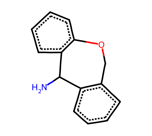 NC1c2ccccc2COc2ccccc21